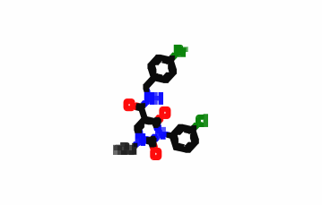 CCCCn1cc(C(=O)NCc2ccc(Br)cc2)c(=O)n(-c2cccc(Cl)c2)c1=O